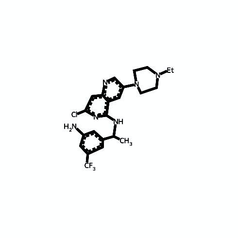 CCN1CCN(c2cnc3cc(Cl)nc(NC(C)c4cc(N)cc(C(F)(F)F)c4)c3c2)CC1